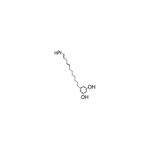 CCCC=CCC=CCCCCCCCc1cc(O)cc(O)c1